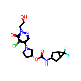 O=C(NC1CC2C(C1)C2(F)F)O[C@@H]1CCN(c2cnn(CCO)c(=O)c2Cl)C1